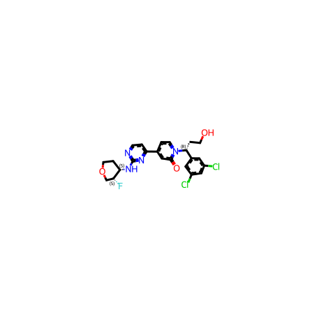 O=c1cc(-c2ccnc(N[C@H]3CCOC[C@H]3F)n2)ccn1[C@H](CCO)c1cc(Cl)cc(Cl)c1